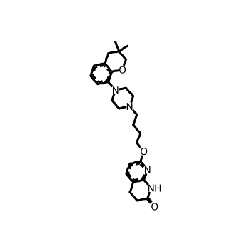 CC1(C)COc2c(cccc2N2CCN(CCCCOc3ccc4c(n3)NC(=O)CC4)CC2)C1